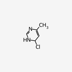 CC1=CC(Cl)NC=N1